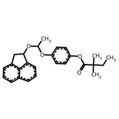 CCC(C)(C)C(=O)Oc1ccc(OC(C)OC2Cc3cccc4cccc2c34)cc1